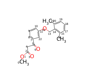 COC(=O)CC(=O)c1cccc(OCc2c(C)cccc2C)c1